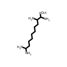 CCCCCCCCC(N)C(N)CCCCCCCC(N)N